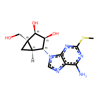 CSc1nc(N)c2ncn([C@H]3[C@H](O)[C@H](O)[C@]4(CO)C[C@H]34)c2n1